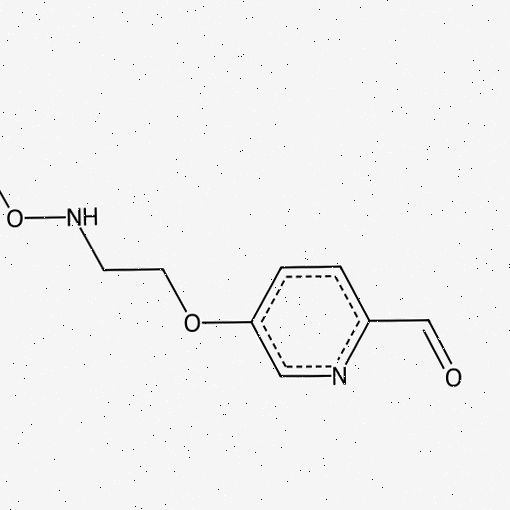 CONCCOc1ccc(C=O)nc1